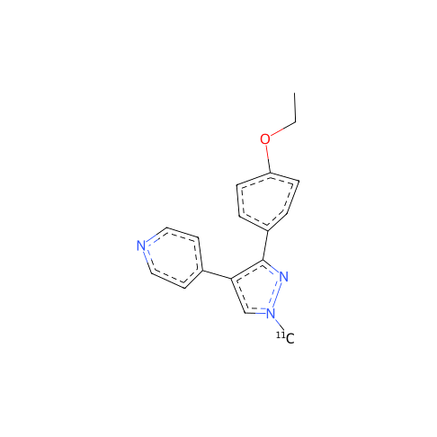 CCOc1ccc(-c2nn([11CH3])cc2-c2ccncc2)cc1